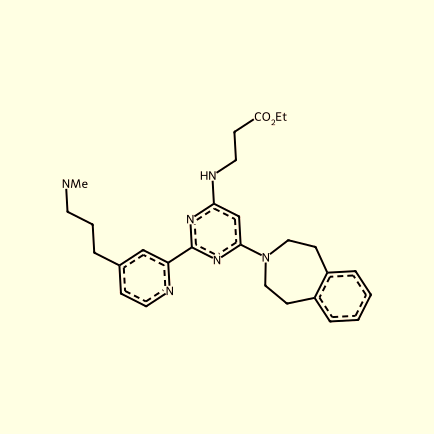 CCOC(=O)CCNc1cc(N2CCc3ccccc3CC2)nc(-c2cc(CCCNC)ccn2)n1